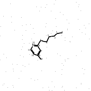 CCCCCCc1cc(C)ccn1